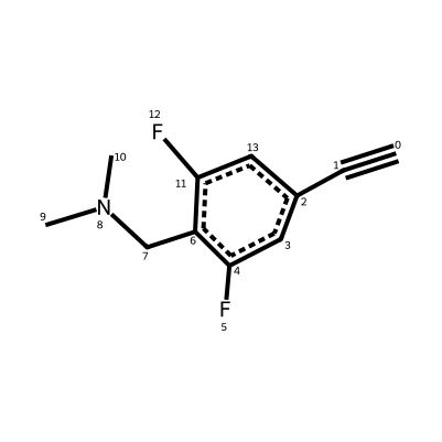 C#Cc1cc(F)c(CN(C)C)c(F)c1